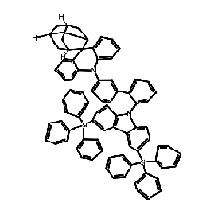 c1ccc([Si](c2ccccc2)(c2ccccc2)c2ccc3c(c2)c2cc([Si](c4ccccc4)(c4ccccc4)c4ccccc4)ccc2n3-c2ccccc2-c2cccc(N3c4ccccc4C4(c5ccccc53)C3C[C@H]5C[C@@H](C3)C[C@@H]4C5)c2)cc1